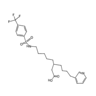 O=C(O)CC(CCCCCNS(=O)(=O)c1ccc(C(F)(F)F)cc1)CCCCc1cccnc1